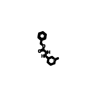 CN1CCCC(NNC(=O)OCc2ccccc2)C1